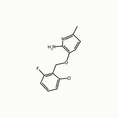 Cc1ccc(OCc2c(F)cccc2Cl)c(N)n1